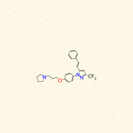 FC(F)(F)c1cc(C=Cc2ccccc2)n(-c2ccc(OCCCN3CCCC3)cc2)n1